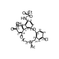 CCS(=O)(=O)Nc1ccc2c(c1)-c1cn(C)c(=O)cc1OCCN(C(C)=O)Cc1cc(Cl)ccc1O2